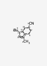 CCC(C)c1nn(C)c2ccc(C#N)cc12